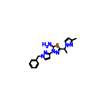 Cc1ccn(C(C)C2=NN(c3ccn(Cc4ccccc4)n3)C(N)S2)n1